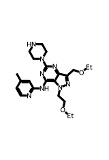 CCOCCn1nc(COCC)c2nc(N3CCNCC3)nc(Nc3cc(C)ccn3)c21